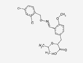 COc1ccc(CC(OC(C)C)C(=O)O)cc1/C=N/OCc1ccc(Cl)cc1Cl